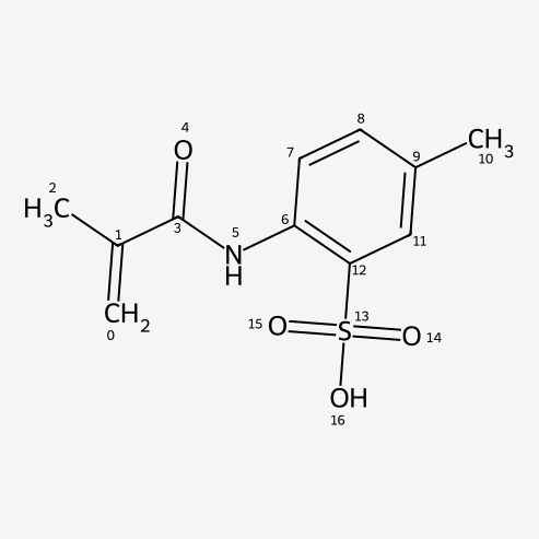 C=C(C)C(=O)Nc1ccc(C)cc1S(=O)(=O)O